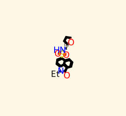 CCN1C(=O)c2cccc3c(S(=O)(=O)NC[C@@H]4CCCO4)ccc1c23